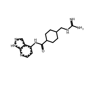 N=C(N)NCC1CCC(C(=O)Nc2ccnc3[nH]ncc23)CC1